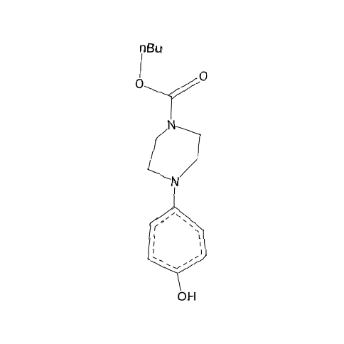 CCCCOC(=O)N1CCN(c2ccc(O)cc2)CC1